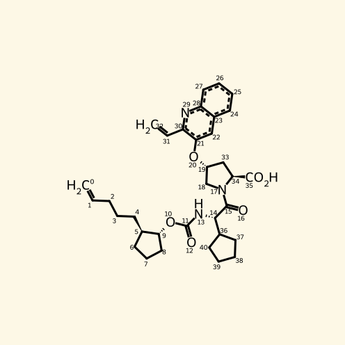 C=CCCC[C@@H]1CCC[C@H]1OC(=O)N[C@H](C(=O)N1C[C@H](Oc2cc3ccccc3nc2C=C)C[C@H]1C(=O)O)C1CCCC1